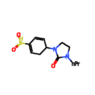 CCCN1CCN(C2C=CC([SH](=O)=O)=CC2)C1=O